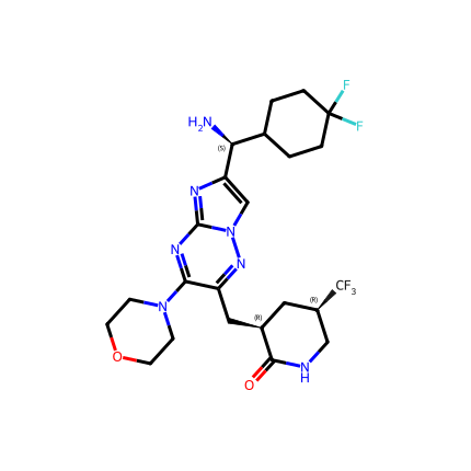 N[C@H](c1cn2nc(C[C@H]3C[C@@H](C(F)(F)F)CNC3=O)c(N3CCOCC3)nc2n1)C1CCC(F)(F)CC1